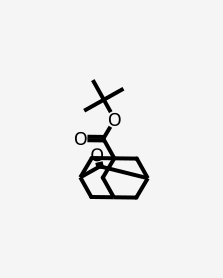 CC(C)(C)OC(=O)C12CC3CC(C1)C(=O)C(C3)C2